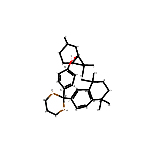 CC1CCC2C(C)(C)C2(Oc2ccc(C3(c4ccc5c(c4)C(C)(C)CCC5(C)C)SCCCS3)cc2)C1